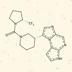 O=C(N1CCC[C@@H](c2cnc3cnc4[nH]ccc4n23)C1)N1CCC[C@@H]1C(F)(F)F